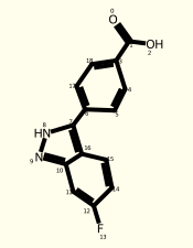 O=C(O)c1ccc(-c2[nH]nc3cc(F)ccc23)cc1